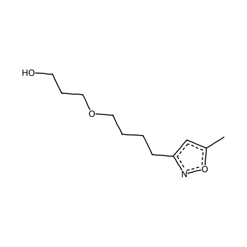 Cc1cc(CCCCOCCCO)no1